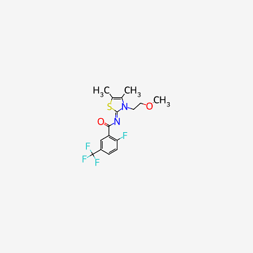 COCCn1c(C)c(C)sc1=NC(=O)c1cc(C(F)(F)F)ccc1F